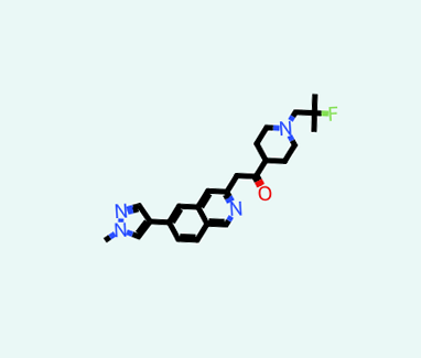 Cn1cc(-c2ccc3cnc(CC(=O)C4CCN(CC(C)(C)F)CC4)cc3c2)cn1